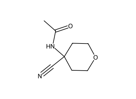 CC(=O)NC1(C#N)CCOCC1